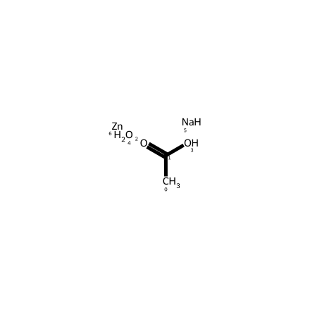 CC(=O)O.O.[NaH].[Zn]